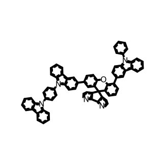 c1ccc(-n2c3ccccc3c3cc(-c4cccc5c4Oc4ccc(-c6ccc7c(c6)c6ccccc6n7-c6ccc(-n7c8ccccc8c8ccccc87)cc6)cc4C54c5cccnc5-c5ncccc54)ccc32)cc1